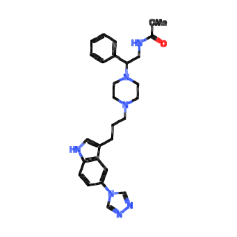 COC(=O)NCC(c1ccccc1)N1CCN(CCCc2c[nH]c3ccc(-n4cnnc4)cc23)CC1